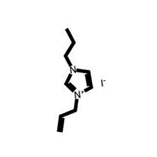 C=CC[n+]1ccn(CCC)c1.[I-]